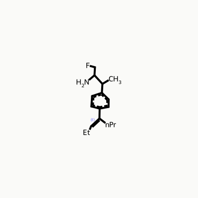 CC/C=C(\CCC)c1ccc(C(C)C(N)CF)cc1